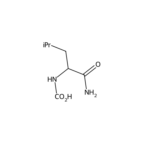 CC(C)CC(NC(=O)O)C(N)=O